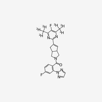 [2H]C([2H])([2H])c1nc(C2=CC3CN(C(=O)c4ccc(F)cc4-n4nccn4)CC3C2)nc(C([2H])([2H])[2H])c1F